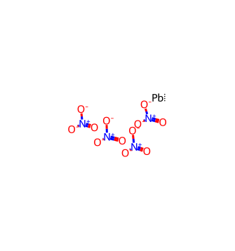 O=[N+]([O-])[O-].O=[N+]([O-])[O-].O=[N+]([O-])[O-].O=[N+]([O-])[O-].[Pb]